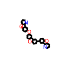 c1cnc2c(c1)oc1ccc(Oc3ccc4oc5ccc(-c6ccc7oc8cccnc8c7c6)cc5c4c3)cc12